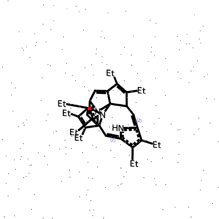 CCC1=C(CC)C2/C=c3\[nH]/c(c(CC)c3CC)=C\C3C(CC)=C(CC)C4=Cc5c(CC)c(CC)c6n5C43N2C1=C6